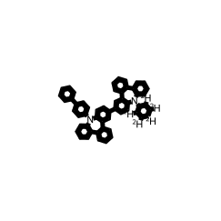 [2H]c1c([2H])c([2H])c(N2c3ccccc3-c3ccccc3-c3cc(-c4ccc5c(c4)-c4ccccc4-c4ccccc4N5c4ccc(-c5ccccc5)cc4)ccc32)c([2H])c1[2H]